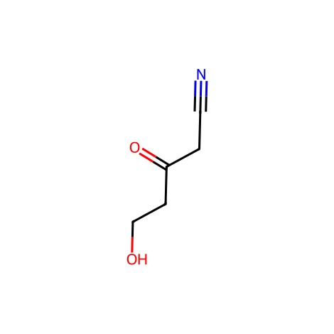 N#CCC(=O)CCO